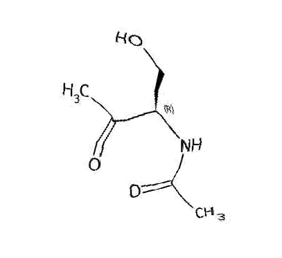 CC(=O)N[C@H](CO)C(C)=O